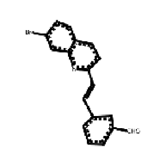 O=Cc1cccc(C=Cc2ccc3ccc(Br)cc3n2)c1